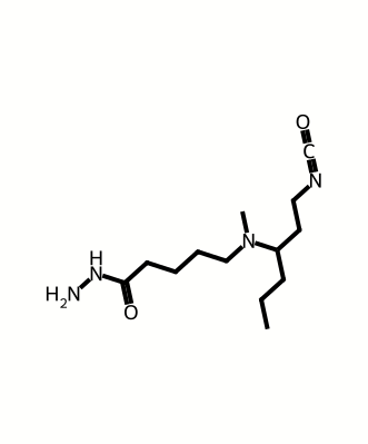 CCCC(CCN=C=O)N(C)CCCCC(=O)NN